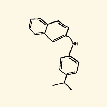 CC(C)c1ccc(Nc2ccc3ccccc3c2)cc1